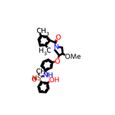 COC1CN(C(=O)c2cc(C)ccc2C)CC1Oc1cccc(N[SH](C)(=O)c2ccccc2O)c1